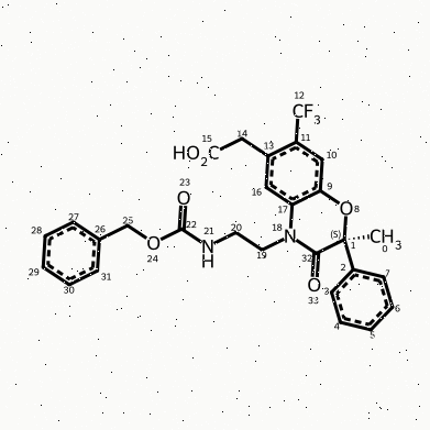 C[C@@]1(c2ccccc2)Oc2cc(C(F)(F)F)c(CC(=O)O)cc2N(CCNC(=O)OCc2ccccc2)C1=O